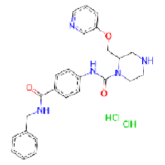 Cl.Cl.O=C(NCc1ccccc1)c1ccc(NC(=O)N2CCNCC2COc2cccnc2)cc1